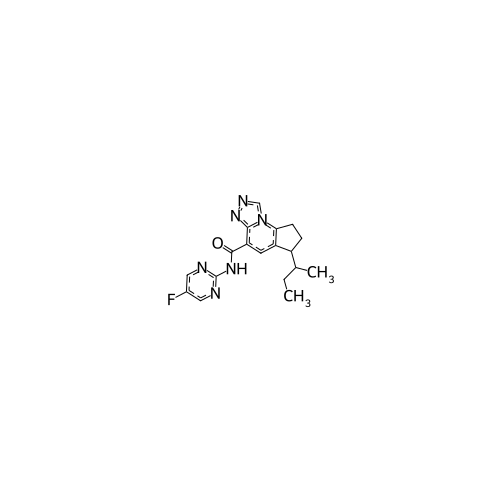 CCC(C)C1CCc2c1cc(C(=O)Nc1ncc(F)cn1)c1nncn21